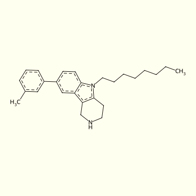 CCCCCCCCn1c2c(c3cc(-c4cccc(C)c4)ccc31)CNCC2